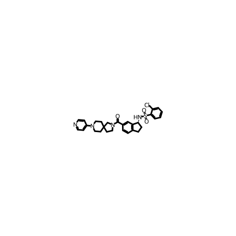 O=C(c1ccc2c(c1)[C@H](NS(=O)(=O)c1ccccc1Cl)CC2)N1CCC2(CCN(c3ccncc3)CC2)C1